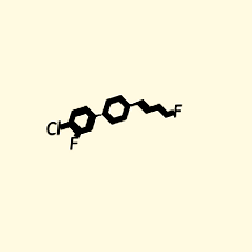 FCCC=C[C@H]1CC[C@H](c2ccc(Cl)c(F)c2)CC1